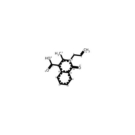 C=CCn1c(C)c(C(=O)O)c2ccccc2c1=O